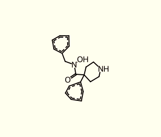 O=C(N(O)Cc1ccccc1)C1(c2ccccc2)CCNCC1